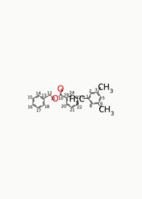 Cc1cc(C)cc(C)c1.O=C(OCc1ccccc1)c1ccccc1